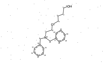 OCCCCOCCN(Cc1ccccc1)Cc1ccccc1